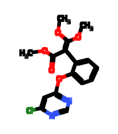 COC(=O)C(=C(OC)OC)c1ccccc1Oc1cc(Cl)ncn1